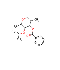 CC(C)OC1C(C)OCC(C)C1OC(=O)c1ccccc1